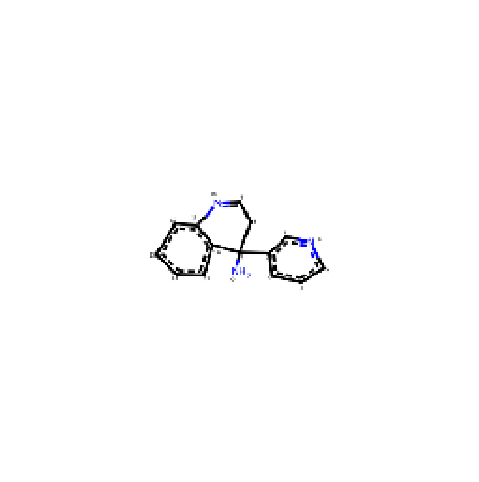 NC1(c2cccnc2)CC=Nc2ccccc21